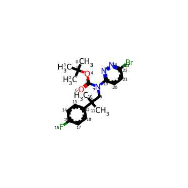 CC(C)(C)OC(=O)N(CC(C)(C)c1ccc(F)cc1)c1ccc(Br)nn1